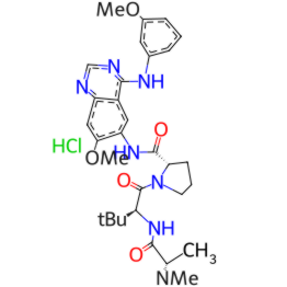 CN[C@@H](C)C(=O)N[C@H](C(=O)N1CCC[C@H]1C(=O)Nc1cc2c(Nc3cccc(OC)c3)ncnc2cc1OC)C(C)(C)C.Cl